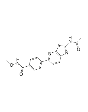 CONC(=O)c1ccc(-c2ccc3nc(NC(C)=O)sc3n2)cc1